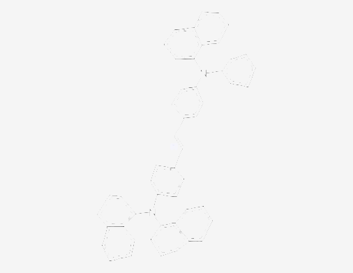 C(=C\c1ccc(N(c2cccc3ccccc23)c2cccc3ccccc23)cc1)/c1ccc(N(c2ccccc2)c2cccc3ccccc23)cc1